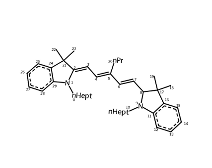 CCCCCCCN1\C(=C/C=C(/C=C/C2N(CCCCCCC)c3ccccc3C2(C)C)CCC)C(C)(C)c2ccccc21